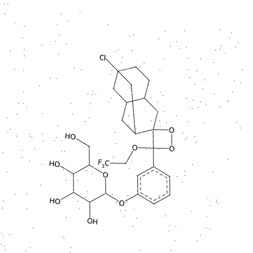 OCC1OC(Oc2cccc(C3(OCC(F)(F)F)OOC34CC3CCC5(Cl)CC3CC4C5)c2)C(O)C(O)C1O